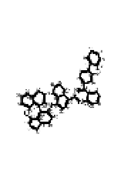 c1ccc2c(-c3ccc4c(c3)oc3ccccc34)nc(-c3ccc(-n4c5ccc6cccc7oc8cccc9ccc4c(c98)c5c67)c4ccccc34)nc2c1